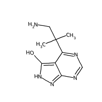 CC(C)(CN)c1ncnc2n[nH]c(O)c12